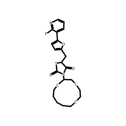 O=C1C(Cc2ccc(-c3cccnc3F)o2)SC(=S)N1C1CCCCCCCCCCC1